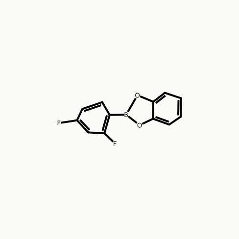 Fc1ccc(B2Oc3ccccc3O2)c(F)c1